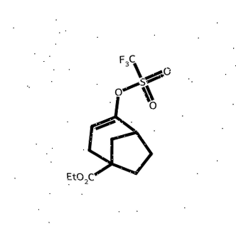 CCOC(=O)C12CC=C(OS(=O)(=O)C(F)(F)F)C(CC1)C2